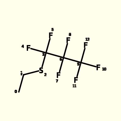 C[CH]SC(F)(F)C(F)(F)C(F)(F)F